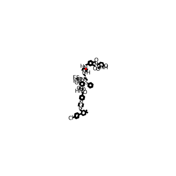 CC1(C)CCC(c2ccc(Cl)cc2)=C(CN2CCN(c3ccc(C(=O)NS(=O)(=O)c4ccc(N[C@H](CCN5C[C@@H]6C[C@H]5CN6Cc5ccc6c(c5)C(=O)N(N5CCC(=O)NC5=O)C6=O)CSc5ccccc5)c(S(=O)(=O)C(F)(F)F)c4)cc3)CC2)C1